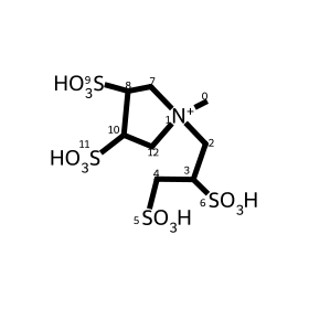 C[N+]1(CC(CS(=O)(=O)O)S(=O)(=O)O)CC(S(=O)(=O)O)C(S(=O)(=O)O)C1